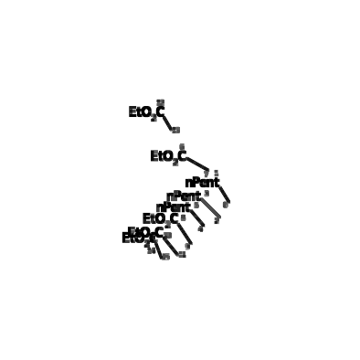 CCCCCC.CCCCCC.CCCCCC.CCOC(C)=O.CCOC(C)=O.CCOC(C)=O.CCOC(C)=O.CCOC(C)=O